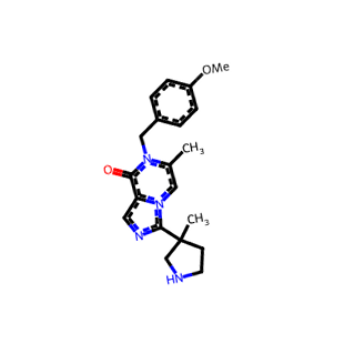 COc1ccc(Cn2c(C)cn3c(C4(C)CCNC4)ncc3c2=O)cc1